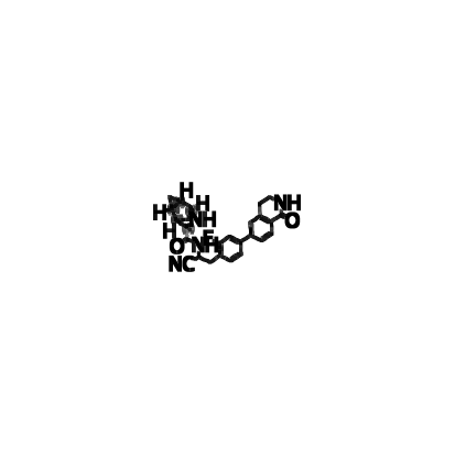 N#CC(Cc1ccc(-c2ccc3c(c2)CCNC3=O)cc1F)NC(=O)[C@H]1N[C@H]2C[C@@H]1[C@@H]1C[C@@H]12